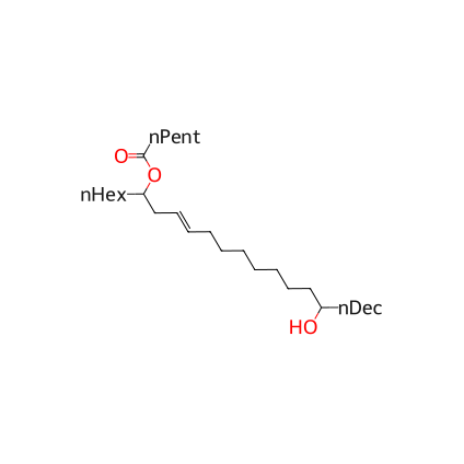 CCCCCCCCCCC(O)CCCCCCCC=CCC(CCCCCC)OC(=O)CCCCC